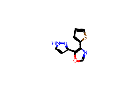 [c]1nc(-c2cccs2)c(-c2cc[nH]n2)o1